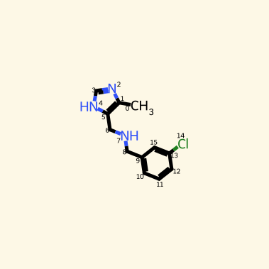 Cc1nc[nH]c1CNCc1cccc(Cl)c1